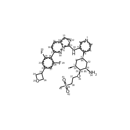 C[C@H]1C[C@@H](c2ccncc2Nc2ncc3ccc(-c4c(F)cc(C5COC5)cc4F)nn23)C[C@@H](N)[C@H]1OCCS(C)(=O)=O